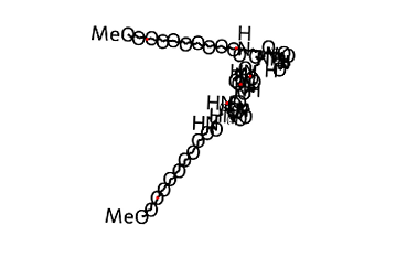 COCCOCCOCCOCCOCCOCCOCCOCCOCCOCC(=O)NCCCC[C@H](NC(=O)CCCNC(=O)[C@H]([C@@H](C(=O)NCCCC(=O)N[C@@H](CCCCNC(=O)COCCOCCOCCOCCOCCOCCOCCOCCOCCOC)C(=O)N[C@@H](C)C(=O)ON1C(=O)CCC1=O)N1C(=O)C=CC1=O)N1C(=O)C=CC1=O)C(=O)N[C@@H](C)C(=O)ON1C(=O)CCC1=O